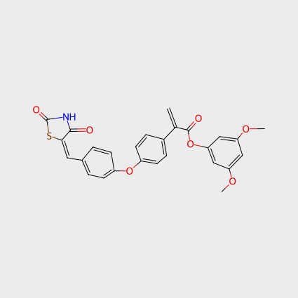 C=C(C(=O)Oc1cc(OC)cc(OC)c1)c1ccc(Oc2ccc(C=C3SC(=O)NC3=O)cc2)cc1